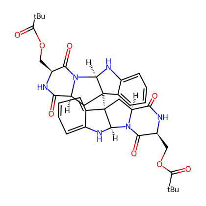 CC(C)(C)C(=O)OC[C@@H]1NC(=O)[C@@H]2CC3([C@]45C[C@H]6C(=O)N[C@@H](COC(=O)C(C)(C)C)C(=O)N6[C@H]4Nc4ccccc45)c4ccccc4N[C@@H]3N2C1=O